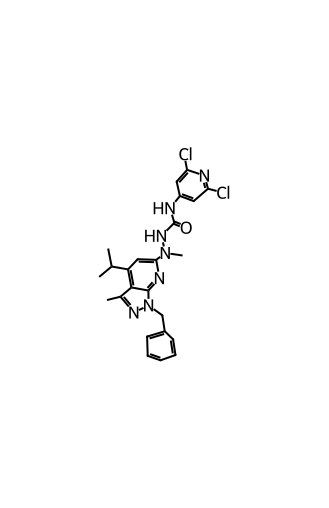 Cc1nn(Cc2ccccc2)c2nc(N(C)NC(=O)Nc3cc(Cl)nc(Cl)c3)cc(C(C)C)c12